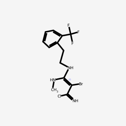 CN/C(NCCc1ccccc1C(F)(F)F)=C(/Br)C(=N)Cl